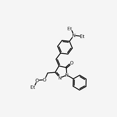 CCOOCC1=NN(c2ccccc2)C(=O)/C1=C\c1ccc(N(CC)CC)cc1